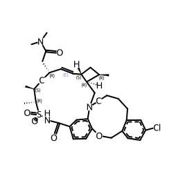 C[C@@H]1C[C@H]2/C=C/[C@@H](CC(=O)N(C)C)C[C@H](C)[C@@H](C)S(=O)(=O)NC(=O)c3ccc4c(c3)N(CCCCc3cc(Cl)ccc3CO4)C[C@H]12